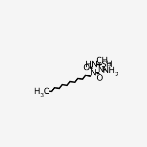 CCCCCCCCCCCCN1C(=O)NC(C)(S)N(N)C1=O